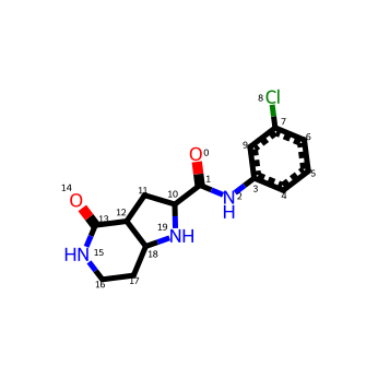 O=C(Nc1cccc(Cl)c1)C1CC2C(=O)NCCC2N1